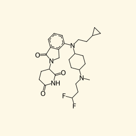 CN(CCC(F)F)C1CCC(N(CCC2CC2)c2cccc3c2CN(C2CCC(=O)NC2=O)C3=O)CC1